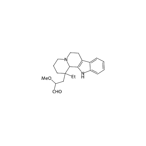 CCC1(CC(C=O)OC)CCCN2CCc3c([nH]c4ccccc34)C21